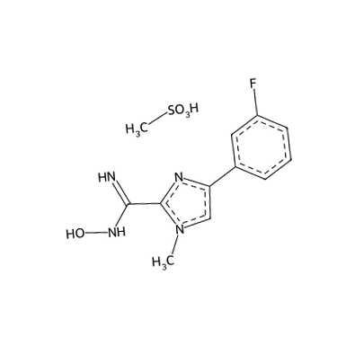 CS(=O)(=O)O.Cn1cc(-c2cccc(F)c2)nc1C(=N)NO